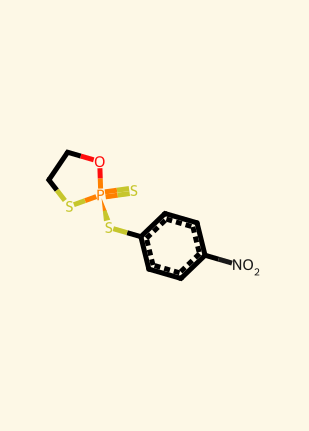 O=[N+]([O-])c1ccc(S[P@]2(=S)OCCS2)cc1